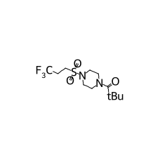 CC(C)(C)C(=O)N1CCN(S(=O)(=O)CCC(F)(F)F)CC1